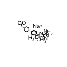 CC1(C)Oc2ncnc(N)c2N=C1c1ccc([C@H]2CC[C@H](CC(=O)[O-])CC2)cc1.[Na+]